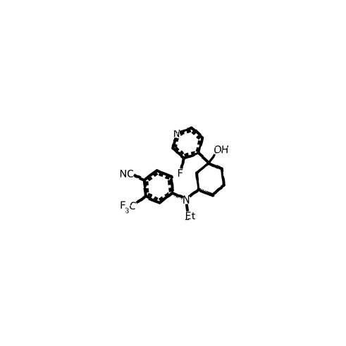 CCN(c1ccc(C#N)c(C(F)(F)F)c1)C1CCCC(O)(c2ccncc2F)C1